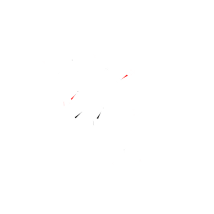 Cc1oc(=O)c2c(c1C)O[C@]1(C)[C@H](O)C(=O)[C@]3(O)C(C)(C)C(=O)C[C@@]3(O)[C@H](C)[C@H]1C2